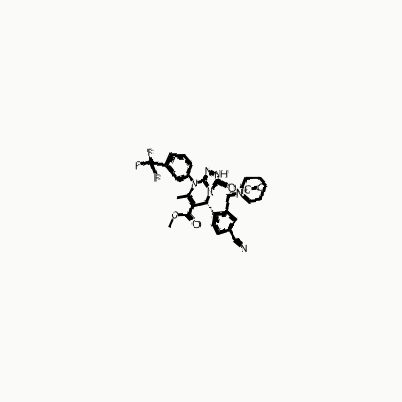 COC(=O)C1=C(C)N(c2cccc(C(F)(F)F)c2)c2n[nH]c(=O)n2[C@@H]1c1ccc(C#N)cc1C[N+]12CCC(CC1)CC2